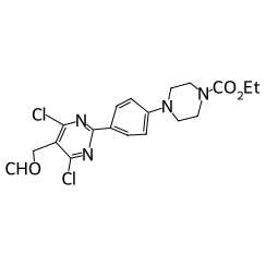 CCOC(=O)N1CCN(c2ccc(-c3nc(Cl)c(CC=O)c(Cl)n3)cc2)CC1